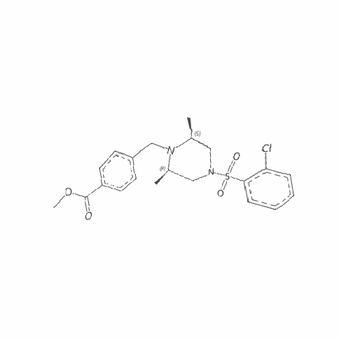 COC(=O)c1ccc(CN2[C@H](C)CN(S(=O)(=O)c3ccccc3Cl)C[C@@H]2C)cc1